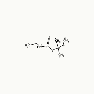 CCNC(=O)CC(C)(C)CC